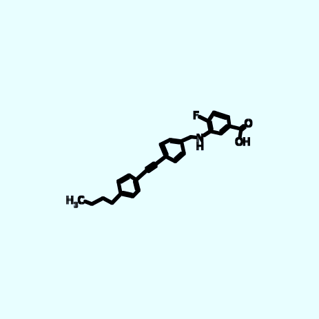 CCCCc1ccc(C#Cc2ccc(CNc3cc(C(=O)O)ccc3F)cc2)cc1